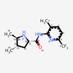 Cc1ccc(C(F)(F)F)nc1NC(=O)[C@@H]1C[C@H](C)[C@@H](C)N1